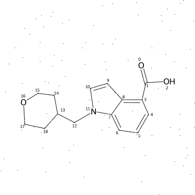 O=C(O)c1cccc2c1ccn2CC1CCOCC1